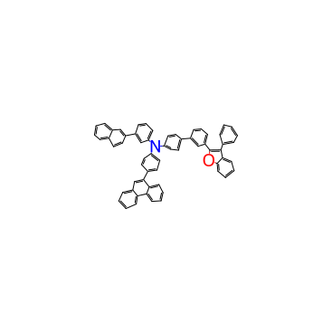 c1ccc(-c2c(-c3cccc(-c4ccc(N(c5ccc(-c6cc7ccccc7c7ccccc67)cc5)c5cccc(-c6ccc7ccccc7c6)c5)cc4)c3)oc3ccccc23)cc1